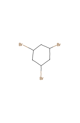 BrC1CC(Br)CC(Br)C1